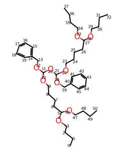 CCCCOC(CCCCOC(OCc1ccccc1)OC(OCCCCC(OCCCC)OCCCC)OCc1ccccc1)OCCCC